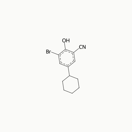 N#Cc1cc(C2CCCCC2)cc(Br)c1O